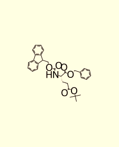 CC(C)(C)OC(=O)CC[C@H](NC(=O)OCC1c2ccccc2-c2ccccc21)C(=O)OCc1ccccc1